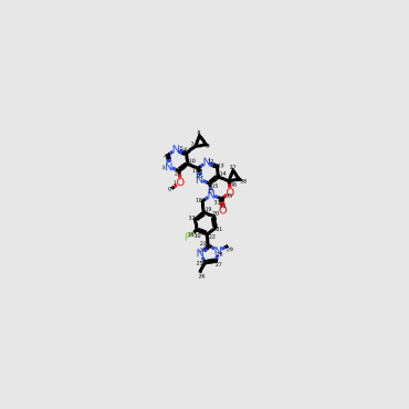 COc1ncnc(C2CC2)c1-c1ncc2c(n1)N(Cc1ccc(-c3nc(C)cn3C)c(F)c1)C(=O)OC21CC1